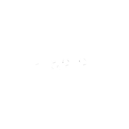 C=CCCOc1ccc(-c2ccc(CCc3ccc(C(C)O)cc3F)cc2)c(F)c1F